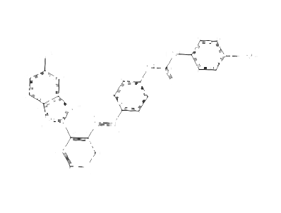 COc1ccc(NC(=O)Nc2ccc(N=NC3=C(c4nc5cc(C(C)(C)C)ccc5o4)C=COC3)cc2)cc1